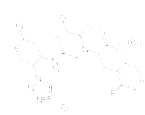 CC(C)(C)OC(=O)C(Cc1ccccc1F)N(CC(=O)Nc1cc(Cl)ccc1-n1cc(Cl)nn1)C(=O)CCl